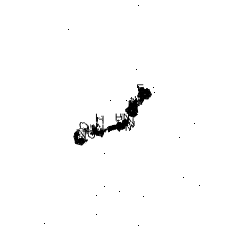 O=C(O[C@H]1CN[C@H](C#Cc2cc3ncnc(Nc4ccc5c(cnn5Cc5cccc(F)c5)c4)c3s2)C1)N1CCCCC1